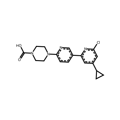 O=C(O)N1CCN(c2ccc(-c3cc(C4CC4)cc(Cl)n3)cn2)CC1